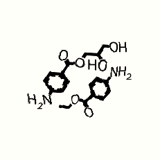 CCOC(=O)c1ccc(N)cc1.Nc1ccc(C(=O)OCC(O)CO)cc1